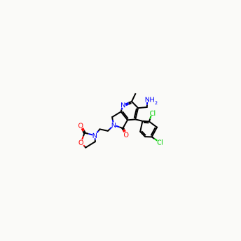 Cc1nc2c(c(-c3ccc(Cl)cc3Cl)c1CN)C(=O)N(CCN1CCOC1=O)C2